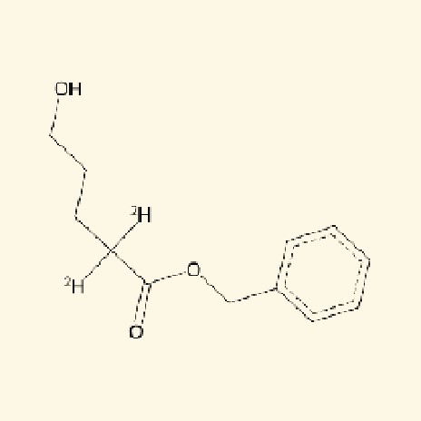 [2H]C([2H])(CCCO)C(=O)OCc1ccccc1